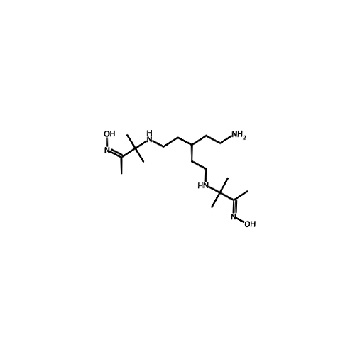 CC(=NO)C(C)(C)NCCC(CCN)CCNC(C)(C)C(C)=NO